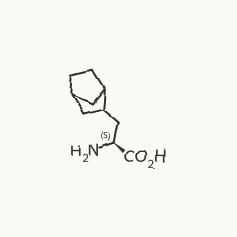 N[C@@H](CC1CC2CCC1C2)C(=O)O